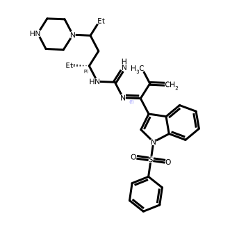 C=C(C)/C(=N\C(=N)N[C@H](CC)CC(CC)N1CCNCC1)c1cn(S(=O)(=O)c2ccccc2)c2ccccc12